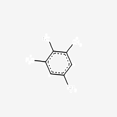 Cc1cc(N)cc(C(F)(F)F)c1C#N